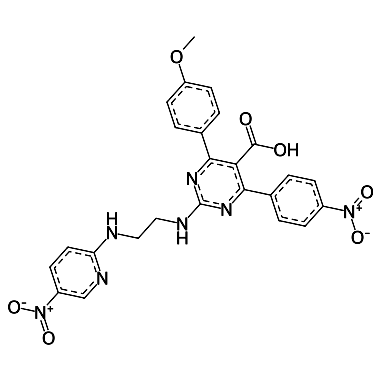 COc1ccc(-c2nc(NCCNc3ccc([N+](=O)[O-])cn3)nc(-c3ccc([N+](=O)[O-])cc3)c2C(=O)O)cc1